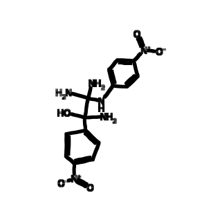 NC(N)(Nc1ccc([N+](=O)[O-])cc1)C(N)(O)c1ccc([N+](=O)[O-])cc1